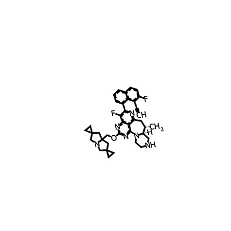 C#Cc1c(F)ccc2cccc(-c3nc4c5c(nc(OCC67CC8(CC8)CN6CC6(CC6)C7)nc5c3F)N3CCNC[C@@H]3[C@@H](C)C4)c12